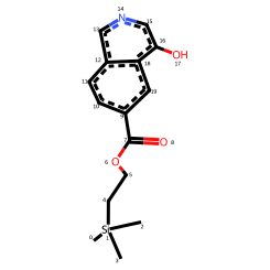 C[Si](C)(C)CCOC(=O)c1ccc2cncc(O)c2c1